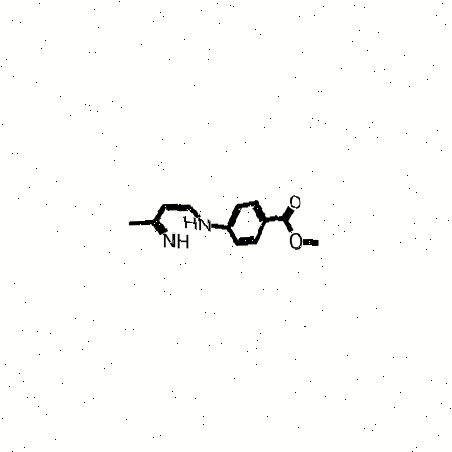 COC(=O)c1ccc(N/C=C\C(C)=N)cc1